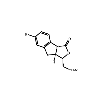 CC(=O)NC[C@H]1OC(=O)N2c3ccc(Br)cc3C[C@H]12